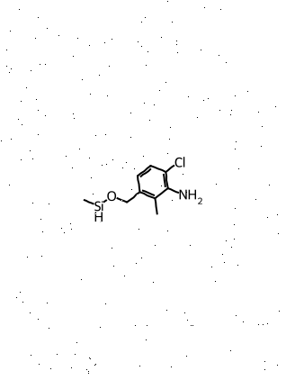 Cc1c(CO[SiH](C)C)ccc(Cl)c1N